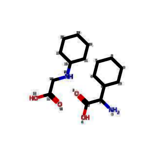 NC(C(=O)O)C1CCCCC1.O=C(O)CNC1CCCCC1